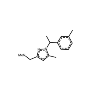 CNCc1cc(C)n(C(C)c2cccc(C)c2)n1